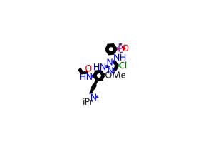 C=CC(=O)Nc1cc(Nc2ncc(Cl)c(Nc3ccccc3P(C)(C)=O)n2)c(OC)cc1C#CCN(C)C(C)C